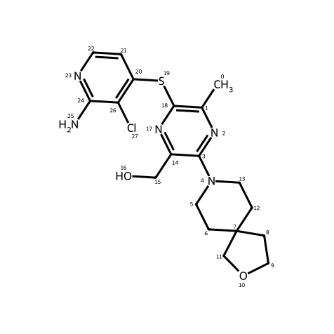 Cc1nc(N2CCC3(CCOC3)CC2)c(CO)nc1Sc1ccnc(N)c1Cl